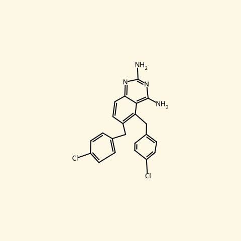 Nc1nc(N)c2c(Cc3ccc(Cl)cc3)c(Cc3ccc(Cl)cc3)ccc2n1